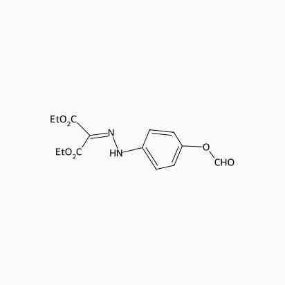 CCOC(=O)C(=NNc1ccc(OC=O)cc1)C(=O)OCC